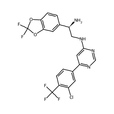 N[C@@H](CNc1cc(-c2ccc(C(F)(F)F)c(Cl)c2)ncn1)c1ccc2c(c1)OC(F)(F)O2